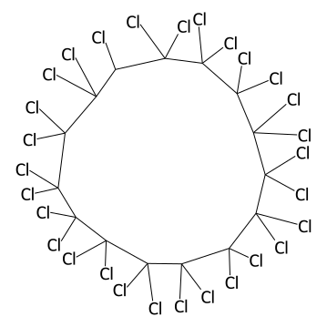 ClC1C(Cl)(Cl)C(Cl)(Cl)C(Cl)(Cl)C(Cl)(Cl)C(Cl)(Cl)C(Cl)(Cl)C(Cl)(Cl)C(Cl)(Cl)C(Cl)(Cl)C(Cl)(Cl)C(Cl)(Cl)C(Cl)(Cl)C(Cl)(Cl)C1(Cl)Cl